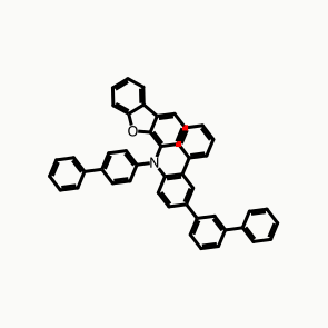 c1ccc(-c2ccc(N(c3ccc(-c4cccc(-c5ccccc5)c4)cc3-c3ccccc3)c3cccc4c3oc3ccccc34)cc2)cc1